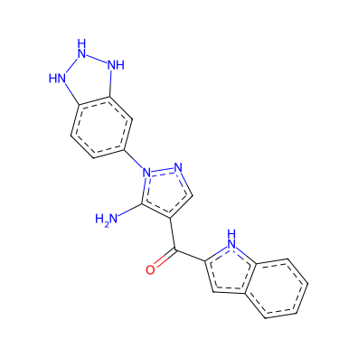 Nc1c(C(=O)c2cc3ccccc3[nH]2)cnn1-c1ccc2c(c1)NNN2